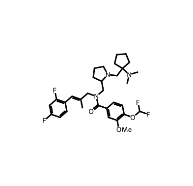 COc1cc(C(=O)N(C/C(C)=C/c2ccc(F)cc2F)CC2CCCN2CC2(N(C)C)CCCC2)ccc1OC(F)F